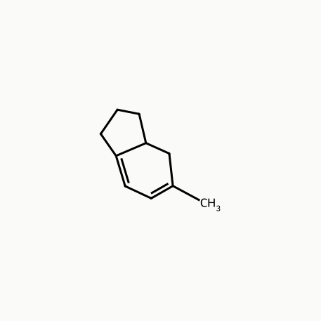 CC1=CC=C2CCCC2C1